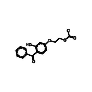 O=C(Cl)OCCOc1ccc(C(=O)c2ccccc2)c(O)c1